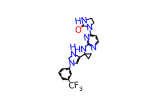 O=C1NCCN1c1ccnc(NC2(C3=CN(c4cccc(C(F)(F)F)c4)CN3)CC2)n1